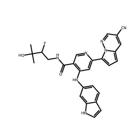 CC(C)(O)C(F)CNC(=O)c1cnc(-c2ccc3cc(C#N)cnn23)cc1Nc1ccc2cc[nH]c2c1